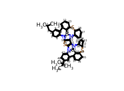 CC(C)Cc1ccc2c(c1)-c1cccc3c1B1N2c2sc4c(c2N1c1ccccc1S3)N1B2c3c(cccc3-c3cc(C(C)(C)C)ccc3N24)SC2CC=CC=C21